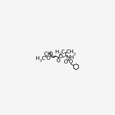 CC(C)OC(=O)/C=C/C(=O)OC[C@H](NC(=O)OCC1CCCCC1)C(C)C